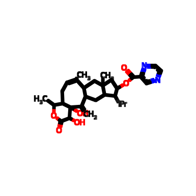 C=C1C2CC3C(C(C)C)C(OC(=O)c4cnccn4)CC3(C)CC2/C(C)=C\CC2C(C)OC(=O)C(O)C12O